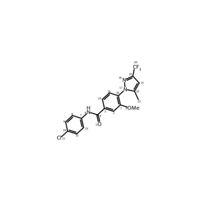 COc1cc(C(=O)Nc2ccc(Cl)cc2)ccc1-n1nc(C(F)(F)F)cc1C